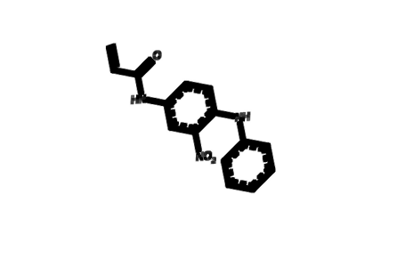 C=CC(=O)Nc1ccc(Nc2ccccc2)c([N+](=O)[O-])c1